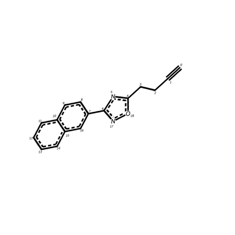 C#CCCc1nc(-c2ccc3ccccc3c2)no1